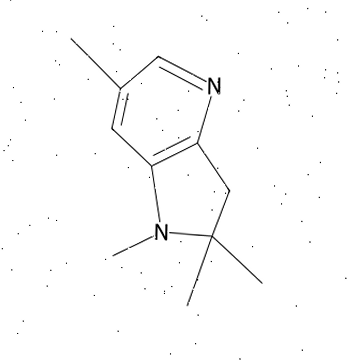 Cc1cnc2c(c1)N(C)C(C)(C)C2